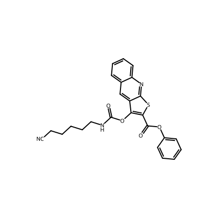 N#CCCCCCNC(=O)Oc1c(C(=O)Oc2ccccc2)sc2nc3ccccc3cc12